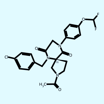 CC(=O)N1CC[C@]2(C1)C(=O)N(c1ccc(OC(F)F)cc1)CC(=O)N2Cc1ccc(Cl)cc1